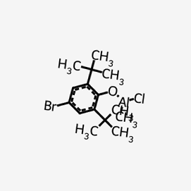 [CH3][Al]([Cl])[O]c1c(C(C)(C)C)cc(Br)cc1C(C)(C)C